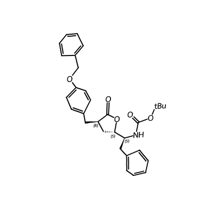 CC(C)(C)OC(=O)N[C@@H](Cc1ccccc1)[C@@H]1C[C@@H](Cc2ccc(OCc3ccccc3)cc2)C(=O)O1